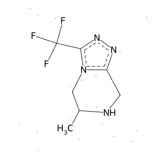 CC1Cn2c(nnc2C(F)(F)F)CN1